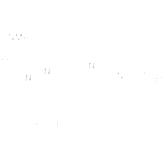 CCOC(C)N1CCN(c2cccc(-n3c(CC(=O)NC)nc4cc(C(=O)O)ccc43)c2)CC1